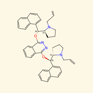 C=CCN1CCC[C@H]1[C@H](Oc1nnc(O[C@H](c2cccc3ccccc23)[C@@H]2CCCN2CC=C)c2ccccc12)c1cccc2ccccc12